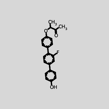 CC(=O)C(C)Oc1ccc(-c2ccc(-c3ccc(O)cc3)cc2F)cc1